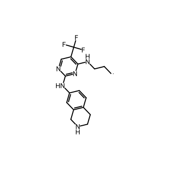 [CH2]CCNc1nc(Nc2ccc3c(c2)CNCC3)ncc1C(F)(F)F